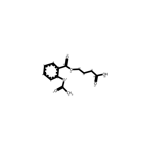 CC(=O)Oc1ccccc1C(=O)OCCCC(=O)O